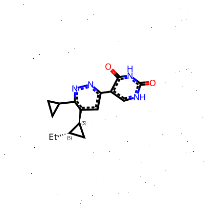 CC[C@H]1C[C@@H]1c1cc(-c2c[nH]c(=O)[nH]c2=O)nnc1C1CC1